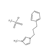 C[n+]1ccn(CCCc2ccccc2)c1.O=S(=O)([O-])C(F)(F)F